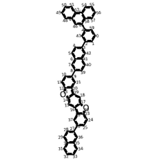 c1cc(-c2ccc3cc(-c4ccc5oc6cc7c(cc6c5c4)oc4ccc(-c5ccc6ccccc6c5)cc47)ccc3c2)cc(-c2cc3ccccc3c3ccccc23)c1